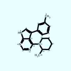 Cc1cccc(-c2c[nH]c3ncnc(N4CCCCC4C)c23)c1